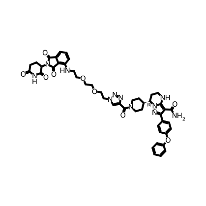 NC(=O)c1c(-c2ccc(Oc3ccccc3)cc2)nn2c1NCC[C@H]2C1CCN(C(=O)c2cn(CCOCCOCCNc3cccc4c3C(=O)N(C3CCC(=O)NC3=O)C4=O)nn2)CC1